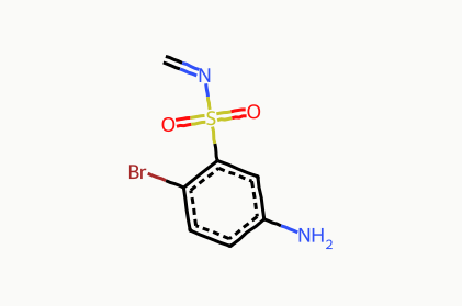 C=NS(=O)(=O)c1cc(N)ccc1Br